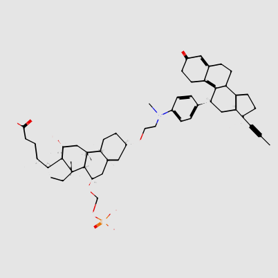 CC#C[C@]1(O)CCC2C3CCC4=CC(=O)CCC4=C3[C@H](c3ccc(N(C)CCO[C@H]4CC[C@@]5(C)[C@@H](C4)C[C@@H](OCOP(=O)(O)O)[C@@H]4[C@@H]5C[C@H](O)[C@]5(C)[C@@H]([C@H](C)CCC(=O)O)CC[C@@H]45)cc3)C[C@@]21C